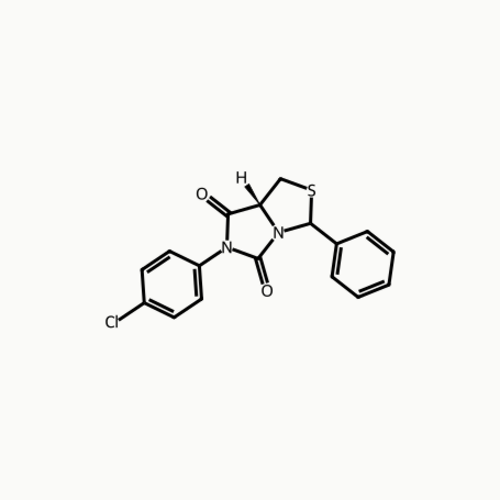 O=C1[C@@H]2CSC(c3ccccc3)N2C(=O)N1c1ccc(Cl)cc1